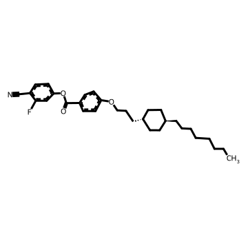 CCCCCCCC[C@H]1CC[C@H](CCCOc2ccc(C(=O)Oc3ccc(C#N)c(F)c3)cc2)CC1